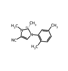 Cc1ccc(C)c(N2C=C(C#N)N(C)[C@@H]2C)c1